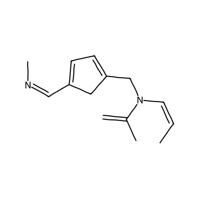 C=C(C)N(/C=C\C)CC1=CC=C(/C=N\C)C1